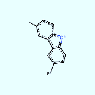 Cc1ccc2[nH]c3ccc(C(C)C)cc3c2c1